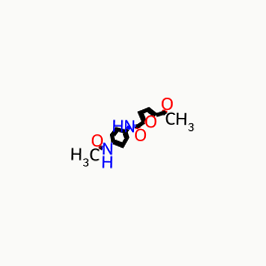 CC(=O)Nc1ccc(NC(=O)c2ccc(C(C)=O)o2)cc1